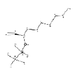 C#C[C@@H](CCCCCCC)O[Si](C)(C)C(C)(C)C